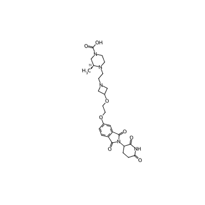 C[C@H]1CN(C(=O)O)CCN1CCN1CC(OCCOc2ccc3c(c2)C(=O)N(C2CCC(=O)NC2=O)C3=O)C1